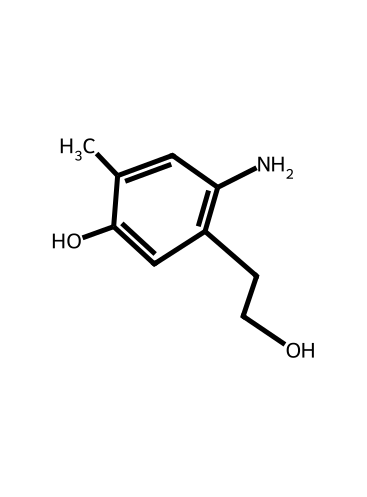 Cc1cc(N)c(CCO)cc1O